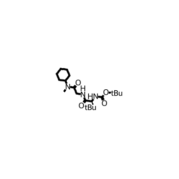 CN(C(=O)CNC(=O)[C@@H](NC(=O)OC(C)(C)C)C(C)(C)C)C1CCCCC1